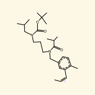 C/C=C\c1cc(CN(CCCN(CC(C)C)C(=O)OC(C)(C)C)C(=O)C(C)C)ccc1C